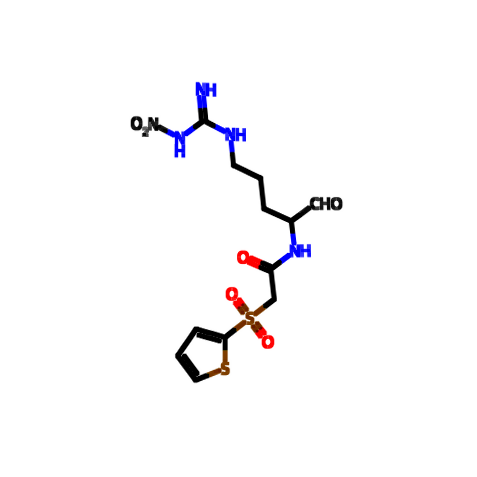 N=C(NCCCC(C=O)NC(=O)CS(=O)(=O)c1cccs1)N[N+](=O)[O-]